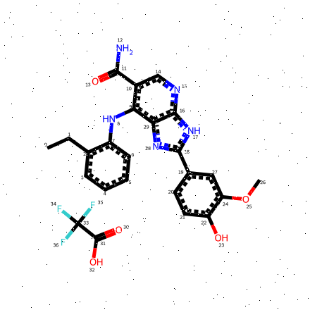 CCc1ccccc1Nc1c(C(N)=O)cnc2[nH]c(-c3ccc(O)c(OC)c3)nc12.O=C(O)C(F)(F)F